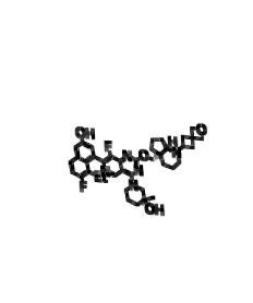 CCc1c(F)ccc2cc(O)cc(-c3ncc4c(N5CCC[C@@](C)(O)C5)nc(OC[C@]56CCC[C@H]5N(C5CC7(COC7)C5)CCC6)nc4c3F)c12